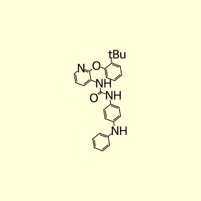 CC(C)(C)c1ccccc1Oc1ncccc1NC(=O)Nc1ccc(Nc2ccccc2)cc1